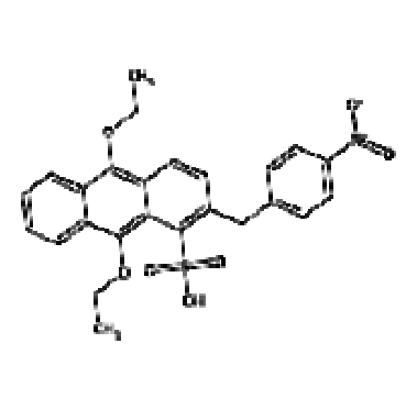 CCOc1c2ccccc2c(OCC)c2c(S(=O)(=O)O)c(Cc3ccc([N+](=O)[O-])cc3)ccc12